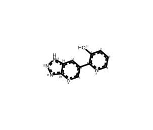 Oc1cccnc1-c1cnc2nn[nH]c2c1